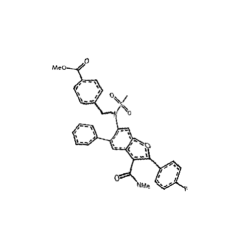 CNC(=O)c1c(-c2ccc(F)cc2)oc2cc(N(Cc3ccc(C(=O)OC)cc3)S(C)(=O)=O)c(-c3ccccc3)cc12